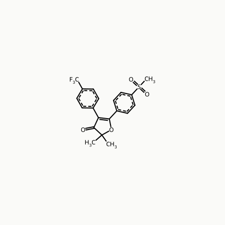 CC1(C)OC(c2ccc(S(C)(=O)=O)cc2)=C(c2ccc(C(F)(F)F)cc2)C1=O